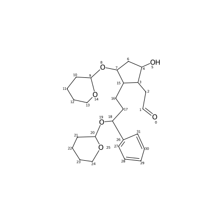 O=CCC1C(O)CC(OC2CCCCO2)C1CCC(OC1CCCCO1)c1ccccc1